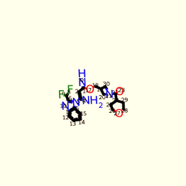 N=C(/C=C(\N)n1c(C(F)F)nc2ccccc21)OCC1CN(C(=O)C2CCOCC2)C1